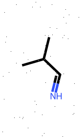 CC(C)C=N